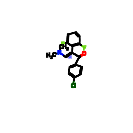 CN(C)/C=C(/C(=O)c1ccc(Cl)cc1)c1c(F)cccc1F